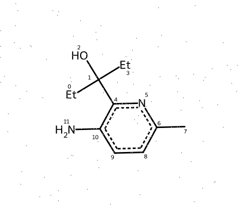 CCC(O)(CC)c1nc(C)ccc1N